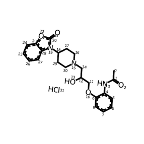 CC(=O)Nc1ccccc1OCC(O)CN1CCC(n2c(=O)oc3ccccc32)CC1.Cl